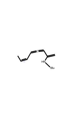 C=C(C=C=C/C=C\C)NC(C)(C)C